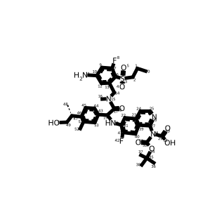 CCCS(=O)(=O)c1c(F)cc(N)cc1CN(C)C(=O)C(Nc1cc2ccnc(N(C(=O)O)C(=O)OC(C)(C)C)c2cc1F)c1ccc([C@@H](C)CO)c(C)c1